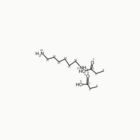 CCC(=O)O.CCC(=O)O.NCCCCCCN